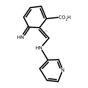 N=C1C=CC=C(C(=O)O)/C1=C/Nc1cccnc1